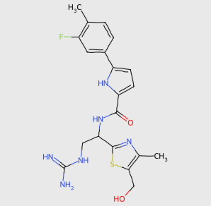 Cc1ccc(-c2ccc(C(=O)NC(CNC(=N)N)c3nc(C)c(CO)s3)[nH]2)cc1F